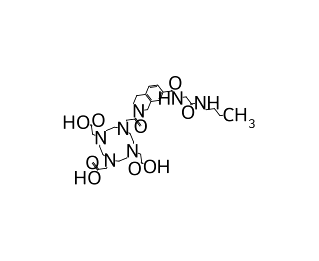 CCCCNC(=O)CNC(=O)c1ccc2c(c1)CN(C(=O)CN1CCN(CC(=O)O)CCN(CC(=O)O)CCN(CC(=O)O)CC1)CC2